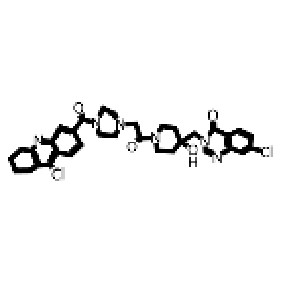 O=C(CN1CCN(C(=O)c2ccc3c(Cl)c4c(nc3c2)CCCC4)CC1)N1CCC(O)(Cn2cnc3cc(Cl)ccc3c2=O)CC1